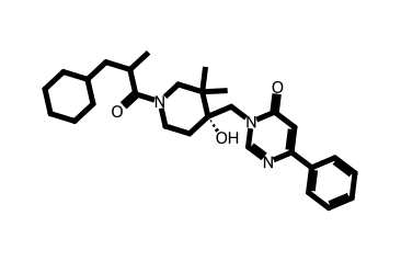 CC(CC1CCCCC1)C(=O)N1CC[C@](O)(Cn2cnc(-c3ccccc3)cc2=O)C(C)(C)C1